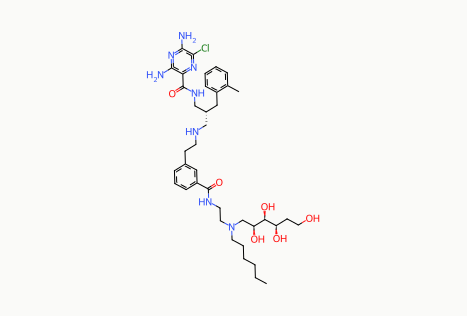 CCCCCCN(CCNC(=O)c1cccc(CCNC[C@H](CNC(=O)c2nc(Cl)c(N)nc2N)Cc2ccccc2C)c1)C[C@H](O)[C@@H](O)[C@H](O)CCO